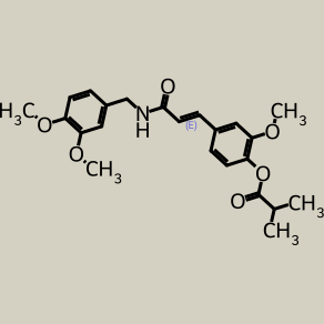 COc1ccc(CNC(=O)/C=C/c2ccc(OC(=O)C(C)C)c(OC)c2)cc1OC